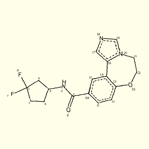 O=C(NC1CCC(F)(F)C1)c1ccc2c(c1)-c1cncn1CCO2